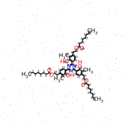 CCCCCCCC(=O)OCCc1ccc(-c2nc(-c3ccc(CCOC(=O)CCCCCCC)c(C)c3O)nc(-c3ccc(CCOC(=O)CCCCCCC)c(C)c3O)n2)c(O)c1C